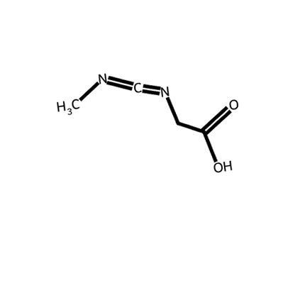 CN=C=NCC(=O)O